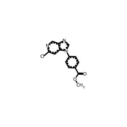 COC(=O)c1ccc(-n2cnc3cnc(Cl)cc32)cc1